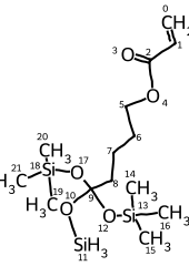 C=CC(=O)OCCCCC(O[SiH3])(O[Si](C)(C)C)O[Si](C)(C)C